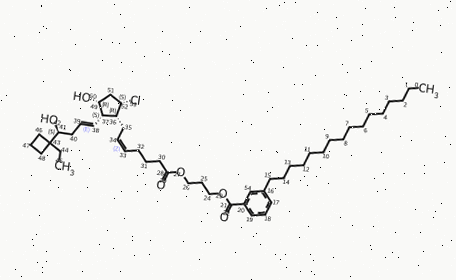 CCCCCCCCCCCCCCCCc1cccc(C(=O)OCCCOC(=O)CCC/C=C\C[C@@H]2[C@H](/C=C/C[C@H](O)C3(CC)CCC3)[C@H](O)C[C@@H]2Cl)c1